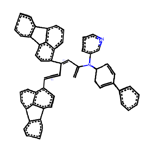 C=C(/C=C(\C=C\c1ccc2c3c(cccc13)-c1ccccc1-2)c1ccc2c3c(cccc13)-c1ccccc1-2)N(c1cccnc1)C1C=CC(c2ccccc2)=CC1